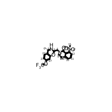 C[C@H](NC(=O)Cn1nnc2cccc(S(C)(=O)=O)c2c1=O)c1ccc(OC(F)(F)F)cc1